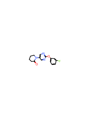 O=C1CCCCN1c1cnc(Oc2cccc(F)c2)nc1